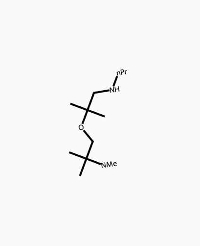 CCCNCC(C)(C)OCC(C)(C)NC